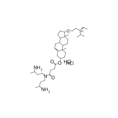 CC[C@H](CC[C@@H](C)C1CCC2C3CC=C4CC(OC(=O)CCC(=O)N(CCC(C)N)CCC(C)N)CCC4(C)C3CCC21C)C(C)C.Cl.Cl